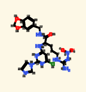 N/C(=N/[N+](=O)[O-])NCCCC(Nc1cc(Cl)nc(-n2ccnc2)n1)C(=O)NCc1ccc2c(c1)OCO2